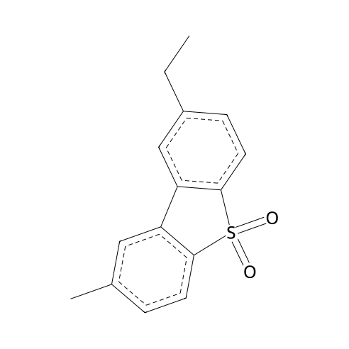 CCc1ccc2c(c1)-c1cc(C)ccc1S2(=O)=O